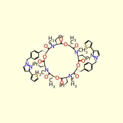 CC(C)C[C@H]1C(=O)O[C@H](Cc2ccc(Cn3ccc(-c4cccs4)n3)cc2)C(=O)N(C)[C@@H](CC(C)C)C(=O)O[C@H](C)C(=O)N(C)[C@@H](CC(C)C)C(=O)O[C@H](Cc2ccc(Cn3ccc(-c4cccs4)n3)cc2)C(=O)N(C)[C@@H](CC(C)C)C(=O)O[C@H](C)C(=O)N1C